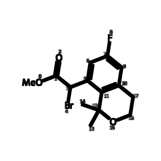 COC(=O)C(Br)c1cc(F)cc2c1C(C)(C)OCC2